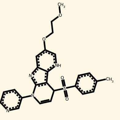 COCCOc1c[nH]c2c3c(nc-2c1)N(c1cccnc1)C=CC3S(=O)(=O)c1ccc(C)cc1